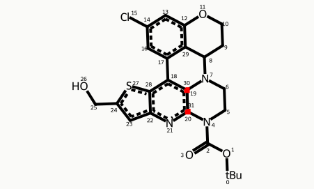 CC(C)(C)OC(=O)N1CCN(C2CCOc3cc(Cl)cc(-c4ccnc5cc(CO)sc45)c32)CC1